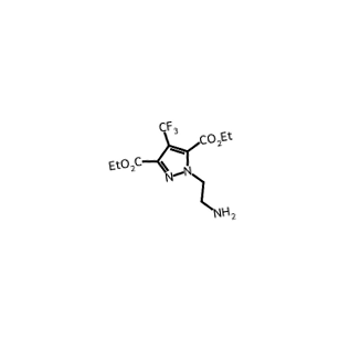 CCOC(=O)c1nn(CCN)c(C(=O)OCC)c1C(F)(F)F